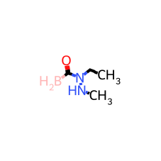 BC(=O)N(CC)NC